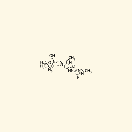 Cc1cn2cc(NC(=O)c3ccc(N4CCC(N(CCO)C(=O)OC(C)(C)C)CC4)c4cn(C)nc34)cc(F)c2n1